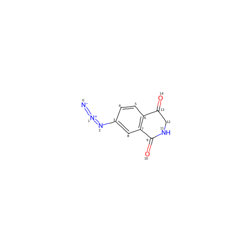 [N-]=[N+]=Nc1ccc2c(c1)C(=O)NCC2=O